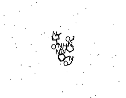 C=CC(=O)N1CCC[C@@H](n2c(NC(=O)c3ccnc(C)c3)nc3ccc4c(c32)CN(C)CCO4)C1